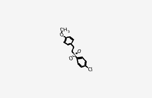 COc1ccc(CCS(=O)(=O)c2ccc(Cl)cc2)cc1